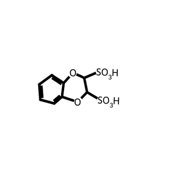 O=S(=O)(O)C1Oc2ccccc2OC1S(=O)(=O)O